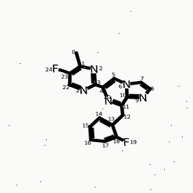 Cc1nc(-c2cn3ccnc3c(Cc3ccccc3F)n2)ncc1F